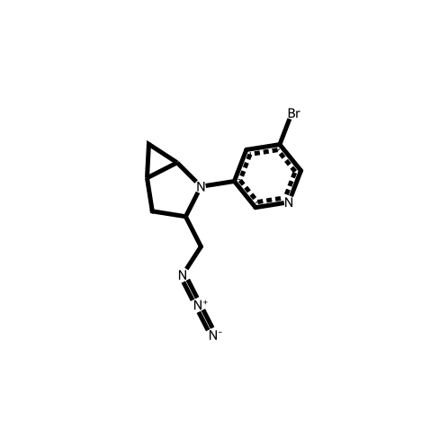 [N-]=[N+]=NCC1CC2CC2N1c1cncc(Br)c1